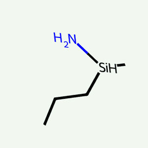 CCC[SiH](C)N